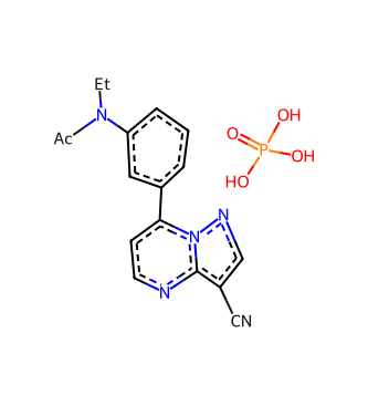 CCN(C(C)=O)c1cccc(-c2ccnc3c(C#N)cnn23)c1.O=P(O)(O)O